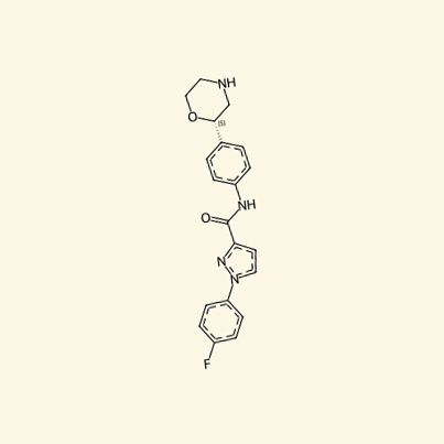 O=C(Nc1ccc([C@H]2CNCCO2)cc1)c1ccn(-c2ccc(F)cc2)n1